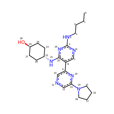 CCCCNc1ncc(-c2cncc(N3CCCC3)n2)c(N[C@H]2CC[C@H](O)CC2)n1